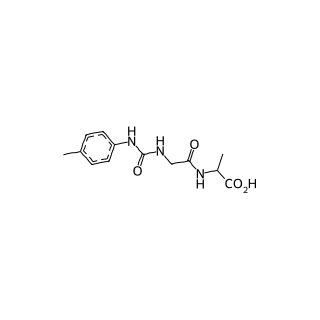 Cc1ccc(NC(=O)NCC(=O)NC(C)C(=O)O)cc1